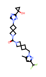 Cc1cc(C(F)F)nn1CC1CC2(C1)CN(C(=O)N1CC3(CC(n4cnc(C5(O)CC5)n4)C3)C1)C2